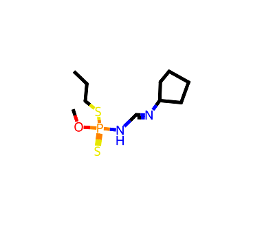 CCCSP(=S)(N/C=N/C1CCCC1)OC